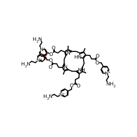 Cc1c2[nH]c(c1CCC(=O)OCc1cc[n+](CCN)cc1)Cc1[nH]c(c(CCC(=O)OCc3cc[n+](CCN)cc3)c1C)Cc1c(C)c(CCC(=O)OCc3cc[n+](CCN)cc3)c(n1C)Cc1c(CCC(=O)OCc3cc[n+](CCN)cc3)c(C)c(n1C)C2